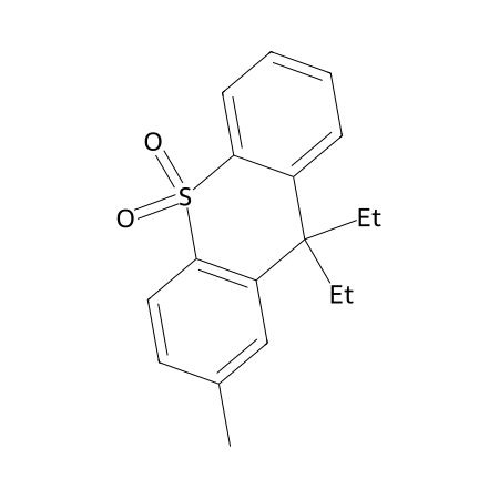 CCC1(CC)c2ccccc2S(=O)(=O)c2ccc(C)cc21